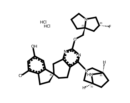 Cl.Cl.Oc1cc(Cl)c2c(c1)[C@@]1(CC2)CCc2c(nc(OC[C@@]34CCCN3C[C@H](F)C4)nc2N2C[C@H]3CC[C@@H](C2)N3)C1